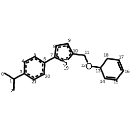 CC(C)c1ccc(-c2ccc(COC3C=CC=CC3)s2)cc1